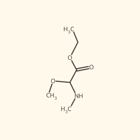 CCOC(=O)C(NC)OC